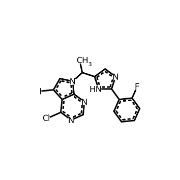 CC(c1cnc(-c2ccccc2F)[nH]1)n1cc(I)c2c(Cl)ncnc21